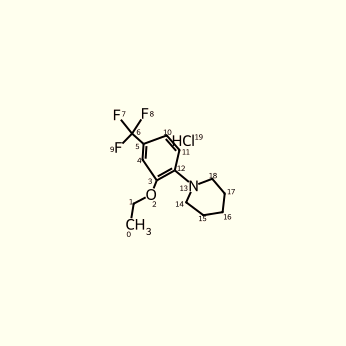 CCOc1cc(C(F)(F)F)ccc1N1CCCCC1.Cl